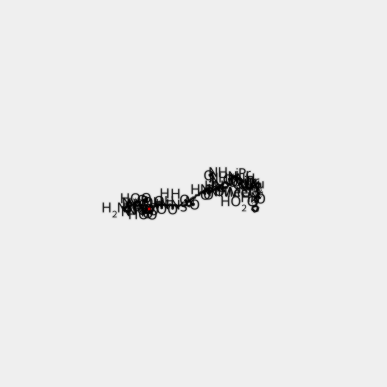 CC[C@H](C)[C@@H]([C@@H](CC(=O)N1CCC[C@H]1[C@H](OC)[C@@H](C)C(=O)N[C@@H](Cc1ccccc1)C(=O)O)OC)N(C)C(=O)[C@@H](NC(=O)[C@H](C(C)C)N(C)C(=O)OCc1ccc(NC(=O)[C@H](CCCNC(N)=O)NC(=O)[C@@H](NC(=O)CCCCCN2C(=O)CC(SCCNC(=O)CCNC(=O)[C@H](O)C(C)(C)COP(=O)(O)OP(=O)(O)OC[C@@H]3O[C@H](n4cnc5c(N)ncnc54)[C@H](O)[C@@H]3OP(=O)(O)O)C2=O)C(C)C)cc1)C(C)C